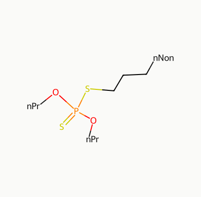 CCCCCCCCCCCCSP(=S)(OCCC)OCCC